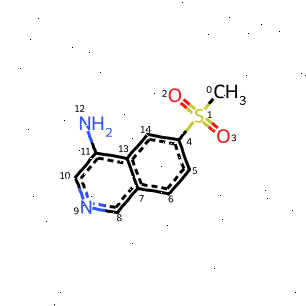 CS(=O)(=O)c1ccc2cncc(N)c2c1